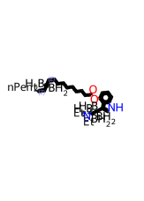 BC(B)(/C=C\CCCCC)/C=C\CCCCCCCC(=O)Oc1cccc2[nH]cc(C(B)(B)C(B)(B)N(CC)CC)c12